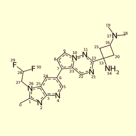 Cc1nc2ncc(-c3ccn4nc(C5(N)CC(N(C)C)C5)ncc34)cc2n1CC(F)F